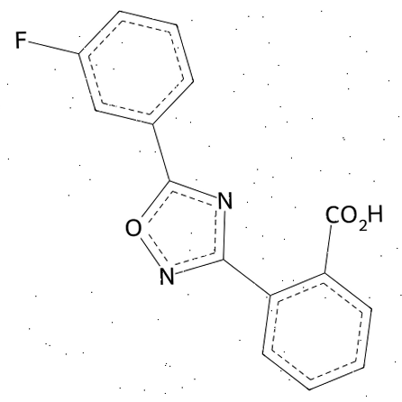 O=C(O)c1ccccc1-c1noc(-c2cccc(F)c2)n1